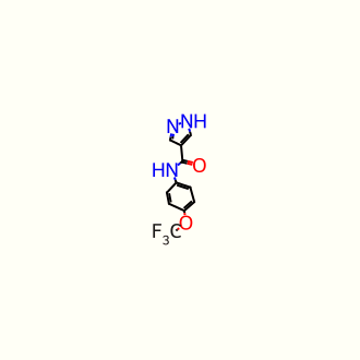 O=C(Nc1ccc(OC(F)(F)F)cc1)c1cn[nH]c1